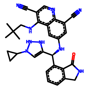 CC(C)(C)CNc1c(C#N)cnc2c(C#N)cc(N[C@H](C3=CN(C4CC4)NN3)c3cccc4c3C(=O)NC4)cc12